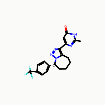 Cc1nc(-c2nnn3c2CCCC[C@@H]3c2ccc(C(F)(F)F)cc2)cc(=O)[nH]1